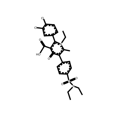 CCN(CC)S(=O)(=O)c1ccc(-c2c(C)n(CC)c(-c3ccc(Cl)c(Cl)c3)c(C(=O)O)c2=O)cc1